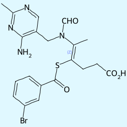 C/C(=C(\CCC(=O)O)SC(=O)c1cccc(Br)c1)N(C=O)Cc1cnc(C)nc1N